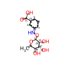 C[C@@H]1OC(ONc2cccc(C(=O)O)c2)[C@@H](O)[C@H](O)[C@@H]1O